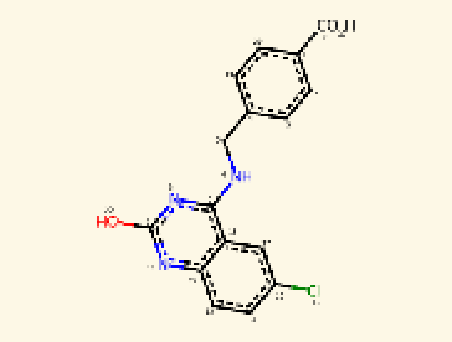 O=C(O)c1ccc(CNc2nc(O)nc3ccc(Cl)cc23)cc1